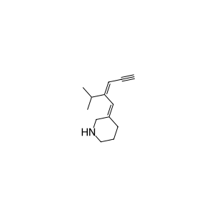 C#C/C=C(\C=C1\CCCNC1)C(C)C